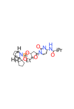 CC[C@H]1O[C@@H](n2ccc(NC(=O)C(C)C)nc2=O)CC1O[P@@]1OC2(CCCC2)[C@@H]2[C@H]3CC[C@H](C3)N21